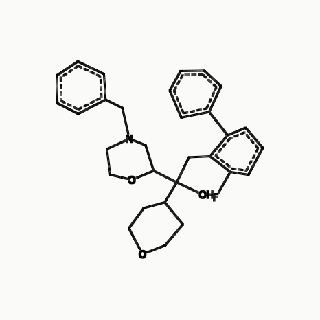 OC(Cc1c(F)cccc1-c1ccccc1)(C1CCOCC1)C1CN(Cc2ccccc2)CCO1